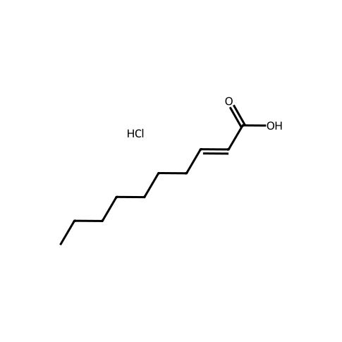 CCCCCCCC=CC(=O)O.Cl